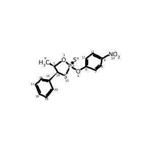 C[C@H]1OP(=S)(Oc2ccc([N+](=O)[O-])cc2)S[C@H]1c1ccccc1